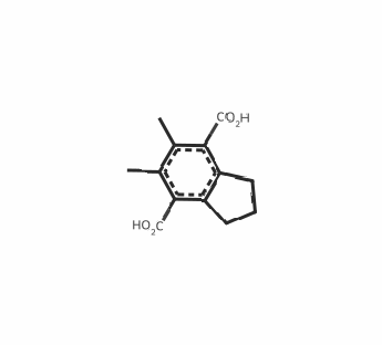 Cc1c(C)c(C(=O)O)c2c(c1C(=O)O)CCC2